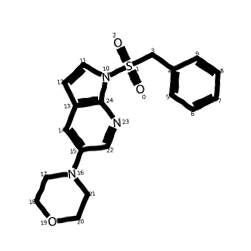 O=S(=O)(Cc1ccccc1)n1ccc2cc(N3CCOCC3)cnc21